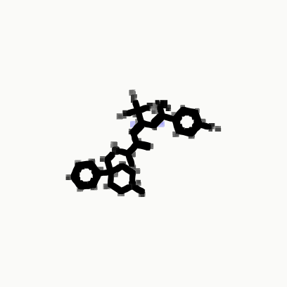 C=C(/C=C(\C=C(/N)c1ccc(F)cc1)C(F)(F)F)C(C)OCC1(c2ccccc2)CCN(C)CC1